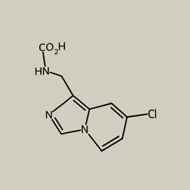 O=C(O)NCc1ncn2ccc(Cl)cc12